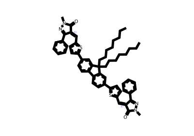 CCCCCCCCC1(CCCCCCCC)c2cc(-c3ccc(/C=C4/C(=O)N(C)N=C4c4ccccc4)s3)ccc2-c2ccc(-c3ccc(/C=C4/C(=O)N(C)N=C4c4ccccc4)s3)cc21